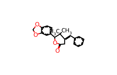 CC1(C)/C(=C/c2ccccc2)CC(=O)OC1c1ccc2c(c1)OCO2